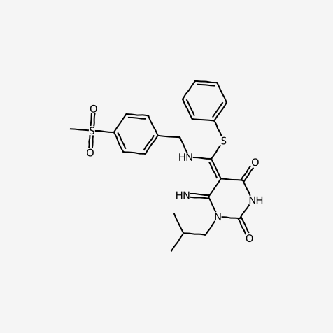 CC(C)CN1C(=N)/C(=C(\NCc2ccc(S(C)(=O)=O)cc2)Sc2ccccc2)C(=O)NC1=O